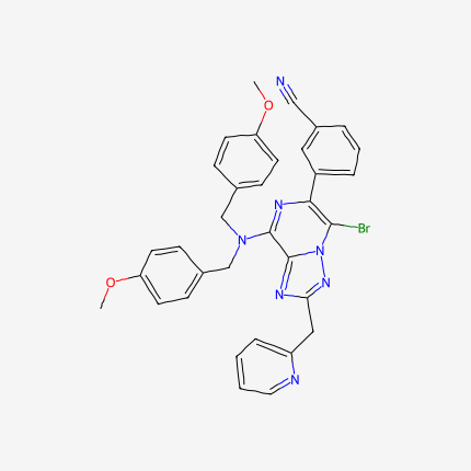 COc1ccc(CN(Cc2ccc(OC)cc2)c2nc(-c3cccc(C#N)c3)c(Br)n3nc(Cc4ccccn4)nc23)cc1